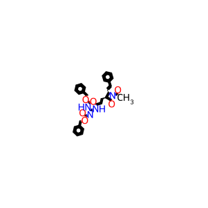 CC(=O)N1C(=O)[C@@H](CCCNC(=NC(=O)OCc2ccccc2)NC(=O)OCc2ccccc2)[C@@H]1C=Cc1ccccc1